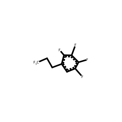 Fc1[c]c(CCC(F)(F)F)c(F)c(F)c1F